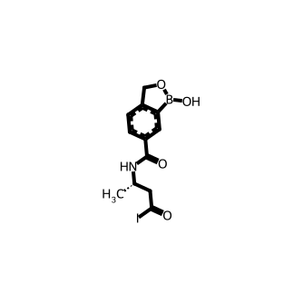 C[C@@H](CC(=O)I)NC(=O)c1ccc2c(c1)B(O)OC2